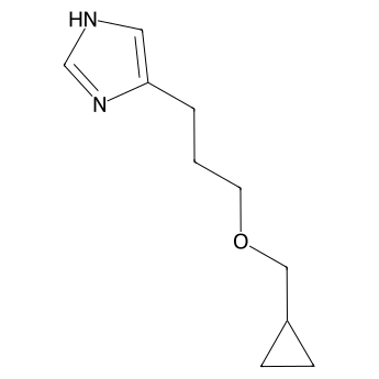 c1nc(CCCOCC2CC2)c[nH]1